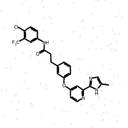 Cc1cnc(-c2cc(Oc3cccc(CCC(=O)Nc4ccc(Cl)c(C(F)(F)F)c4)c3)ccn2)[nH]1